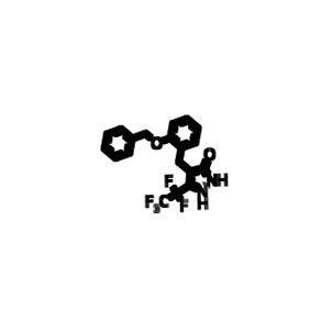 O=c1[nH][nH]c(C(F)(F)C(F)(F)F)c1Cc1ccccc1OCc1ccccc1